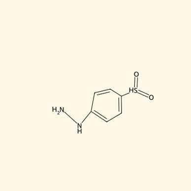 NNc1ccc([SH](=O)=O)cc1